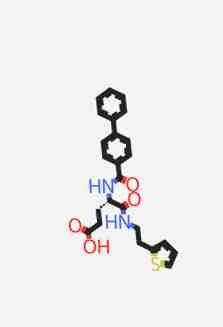 O=C(O)CC[C@H](NC(=O)c1ccc(-c2ccccc2)cc1)C(=O)NCCc1cccs1